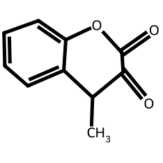 CC1C(=O)C(=O)Oc2ccccc21